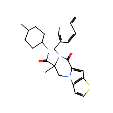 C=C/C=C\C(=C/N)CN1C(=O)c2cc3sccc3n2CC1(C)C(=O)NC1CCC(C)CC1